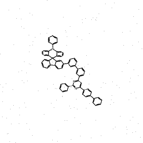 c1ccc(-c2ccc(-c3cc(-c4cccc(-c5cccc(-c6ccc7c(c6)C6(c8ccccc8-7)c7ccccc7N(c7ccccc7)c7ccccc76)c5)c4)nc(-c4ccccc4)n3)cc2)cc1